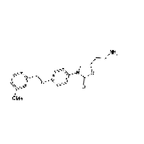 COc1cccc(COc2ccc(N3CC(CCN)OC3=O)cc2)c1